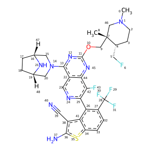 CN1CC[C@H](CF)[C@](C)(COc2nc(N3C[C@H]4CC[C@@H](C3)N4)c3cnc(-c4c(C(F)(F)F)ccc5sc(N)c(C#N)c45)c(F)c3n2)C1